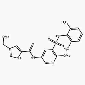 COCc1c[nH]c(C(=O)Nc2cnc(OC)c(S(=O)(=O)Nc3c(C)cccc3C)c2)c1